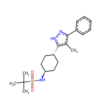 Cc1c(-c2ccccc2)n[nH]c1[C@H]1CC[C@H](NS(=O)(=O)C(C)(C)C)CC1